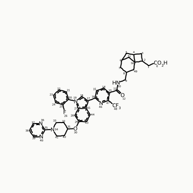 O=C(O)CC1CC2CC3CC(CNC(=O)c4ccc(-c5cn(-c6ccccc6F)c6cc(OC7CCN(c8ncccn8)CC7)ccc56)nc4C(F)(F)F)CC12C3